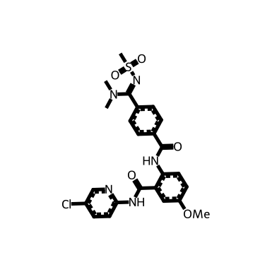 COc1ccc(NC(=O)c2ccc(C(=NS(C)(=O)=O)N(C)C)cc2)c(C(=O)Nc2ccc(Cl)cn2)c1